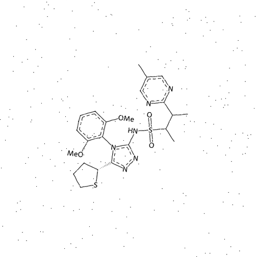 COc1cccc(OC)c1-n1c(NS(=O)(=O)C(C)C(C)c2ncc(C)cn2)nnc1[C@H]1CCCS1